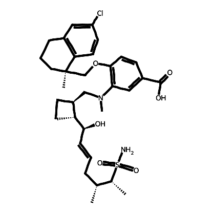 C[C@H](C/C=C/[C@H](O)[C@@H]1CC[C@H]1CN(C)c1cc(C(=O)O)ccc1OC[C@@]1(C)CCCc2cc(Cl)ccc21)[C@@H](C)S(N)(=O)=O